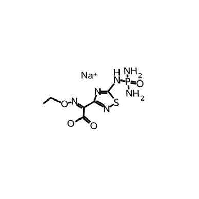 CCO/N=C(\C(=O)[O-])c1nsc(NP(N)(N)=O)n1.[Na+]